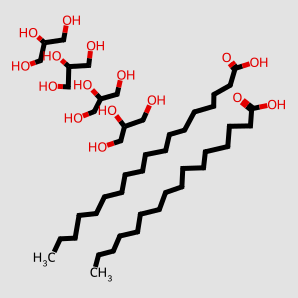 CCCCCCCCCCCCCCCC(=O)O.CCCCCCCCCCCCCCCCCC(=O)O.OCC(O)CO.OCC(O)CO.OCC(O)CO.OCC(O)CO